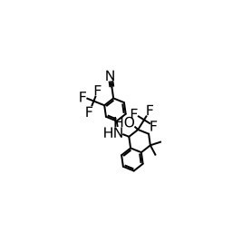 CC1(C)CC(O)(C(F)(F)F)C(Nc2ccc(C#N)c(C(F)(F)F)c2)c2ccccc21